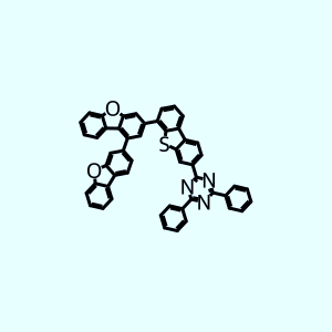 c1ccc(-c2nc(-c3ccccc3)nc(-c3ccc4c(c3)sc3c(-c5cc(-c6ccc7c(c6)oc6ccccc67)c6c(c5)oc5ccccc56)cccc34)n2)cc1